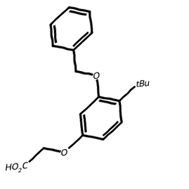 CC(C)(C)c1ccc(OCC(=O)O)cc1OCc1ccccc1